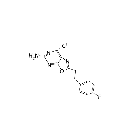 Nc1nc(Cl)c2nc(CCc3ccc(F)cc3)oc2n1